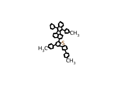 Cc1ccc(-c2ccc3sc4c(-c5ccc6c7c(cccc57)-c5c-6c(-c6ccc(C)cc6)c6ccccc6c5-c5ccccc5)cc(-c5ccc(C)cc5)cc4c3c2)cc1